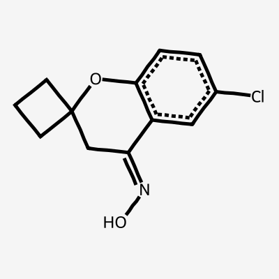 O/N=C1\CC2(CCC2)Oc2ccc(Cl)cc21